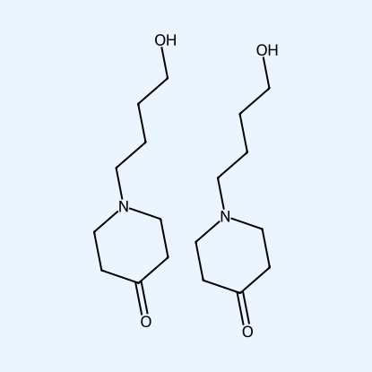 O=C1CCN(CCCCO)CC1.O=C1CCN(CCCCO)CC1